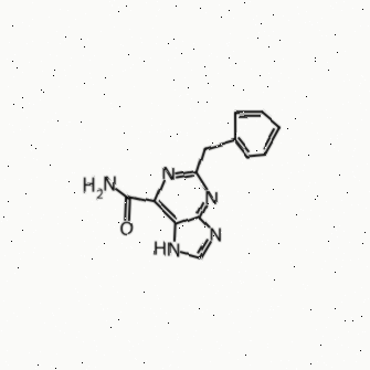 NC(=O)c1nc(Cc2ccccc2)nc2nc[nH]c12